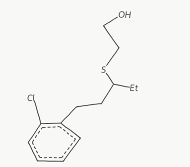 [CH2]CC(CCc1ccccc1Cl)SCCO